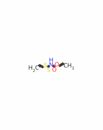 C=CCSC(=S)NC(=O)OCCC